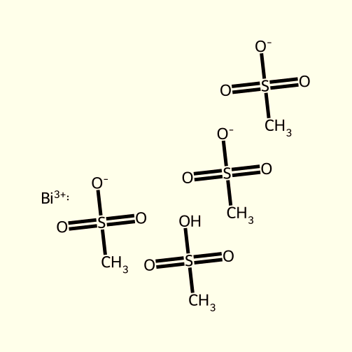 CS(=O)(=O)O.CS(=O)(=O)[O-].CS(=O)(=O)[O-].CS(=O)(=O)[O-].[Bi+3]